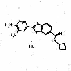 Cl.N=C(NC1CCC1)c1ccc2nc(-c3ccc(N)c(N)c3)[nH]c2c1